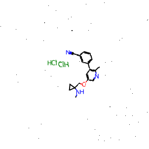 CNC1(COc2cnc(C)c(-c3cccc(C#N)c3)c2)CC1.Cl.Cl